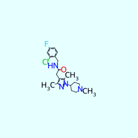 Cc1nn(C2CCN(C)CC2)c(C)c1CC(=O)NCc1ccc(F)cc1Cl